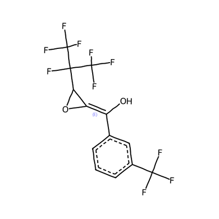 O/C(=C1/OC1C(F)(C(F)(F)F)C(F)(F)F)c1cccc(C(F)(F)F)c1